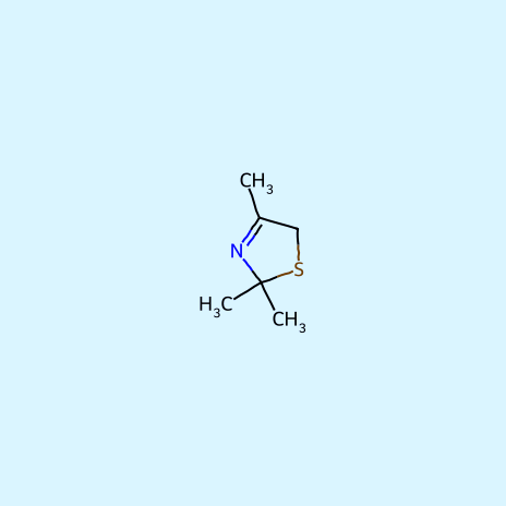 CC1=NC(C)(C)SC1